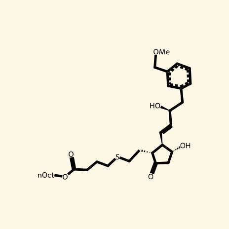 CCCCCCCCOC(=O)CCCSCC[C@H]1C(=O)C[C@@H](O)[C@@H]1C=C[C@@H](O)Cc1cccc(COC)c1